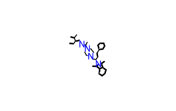 C=C/C(=C\N=C(/C)N1CCN(CC(/C=C/c2ccccc2)n2c(=C)c3ccccc3c2=C)CC1)C(=C)C